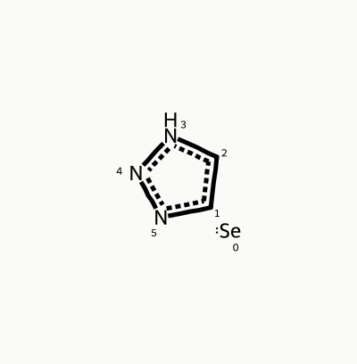 [Se].c1c[nH]nn1